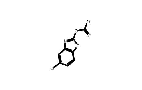 CCC(=O)Oc1nc2cc(Cl)ccc2o1